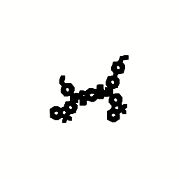 C=Cc1ccc(-c2ccc(N(c3ccc4c(c3)-c3ccccc3C4(C)C)c3cc4cc5sc(N(c6ccc(C=C)cc6)c6ccc7c(c6)-c6ccccc6C7(C)C)cc5cc4s3)cc2)cc1